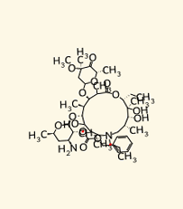 CCCN1C[C@@H](C)[C@@H](O)[C@](C)(O)[C@@H](CC)OC(=O)C(C)[C@H](OC2C[C@@](C)(OC)C(=O)[C@H](C)O2)[C@H](C)[C@@H](O[C@@H]2O[C@H](C)C[C@H](N)[C@H]2OC(=O)OCc2ccccc2)[C@](C)(O)C[C@H]1C